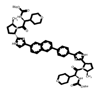 COC(=O)N[C@H](C(=O)N1C(c2nc(-c3ccc(-c4ccc5cc(-c6c[nH]c([C@@H]7CC[C@@H](C)N7C(=O)[C@@H](NC(=O)OC)C7CCOCC7)n6)ccc5c4)cc3)c[nH]2)CC[C@H]1C)C1CCOCC1